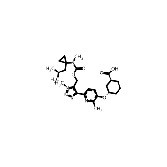 Cc1nc(-c2nnn(C)c2COC(=O)N(C)C2(CC(C)C)CC2)ccc1O[C@H]1CCC[C@H](C(=O)O)C1